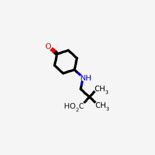 CC(C)(CNC1CCC(=O)CC1)C(=O)O